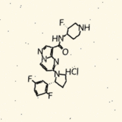 Cl.O=C(N[C@@H]1CCNC[C@H]1F)c1cnn2ccc(N3CCC[C@@H]3c3cc(F)ccc3F)nc12